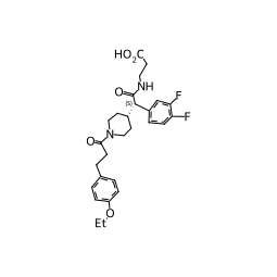 CCOc1ccc(CCC(=O)N2CCC([C@H](C(=O)NCCC(=O)O)c3ccc(F)c(F)c3)CC2)cc1